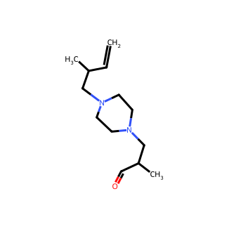 C=CC(C)CN1CCN(CC(C)C=O)CC1